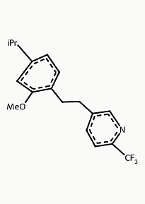 COc1cc(C(C)C)ccc1CCc1ccc(C(F)(F)F)nc1